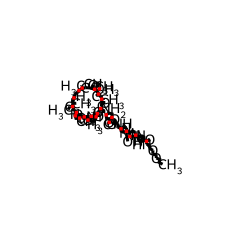 CCCOCCOCCNC(=O)c1cnc(N2CCN(c3ncc(CNC(=O)O[C@@H]4CC[C@@H](C[C@@H](N)[C@@H]5CC(=O)[C@H](C)/C=C(\C)[C@@H](O)[C@@H](OC)C(=O)[C@H](C)C[C@H](C)/C=C/C=C/C=C(\C)[C@@H](OC)C[C@@H]6CC[C@@H](C)[C@@](O)(O6)C(=O)C(=O)N6CCCC[C@H]6C(=O)O5)C[C@H]4OC)cn3)C(CO)C2)nc1